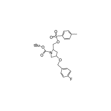 Cc1ccc(S(=O)(=O)OCC2CC(OCc3ccc(F)cc3)CN2C(=O)OC(C)(C)C)cc1